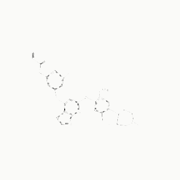 C=CC(=O)Nc1cc(F)cc(Oc2cc(Nc3cc(C)c(C4CCN(C)CC4)cc3OC)nc3[nH]ccc23)c1